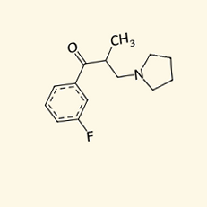 CC(CN1CCCC1)C(=O)c1cccc(F)c1